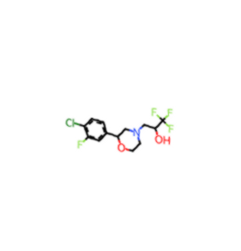 OC(CN1CCOC(c2ccc(Cl)c(F)c2)C1)C(F)(F)F